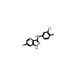 Fc1cnc2c(Nc3ccc(F)c(Cl)c3)n[nH]c2c1